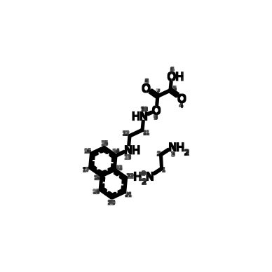 NCCN.O=C(O)C(=O)ONCCNc1cccc2ccccc12